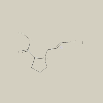 CC(C)(C)OC(=O)C1CCCN1C/C=C/C(=O)O